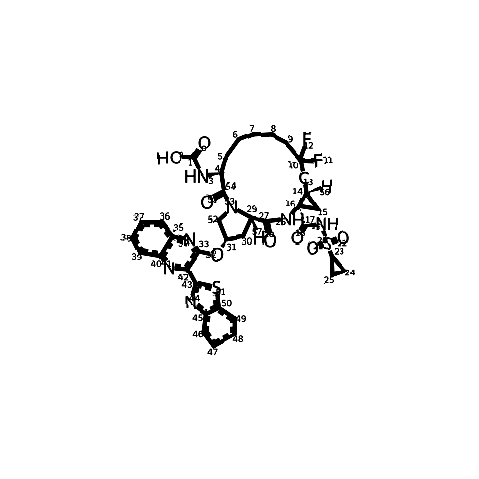 O=C(O)N[C@H]1CCCCCC(F)(F)C[C@@H]2C[C@@]2(C(=O)NS(=O)(=O)C2CC2)NC(=O)[C@@H]2C[C@@H](Oc3nc4ccccc4nc3-c3nc4ccccc4s3)CN2C1=O